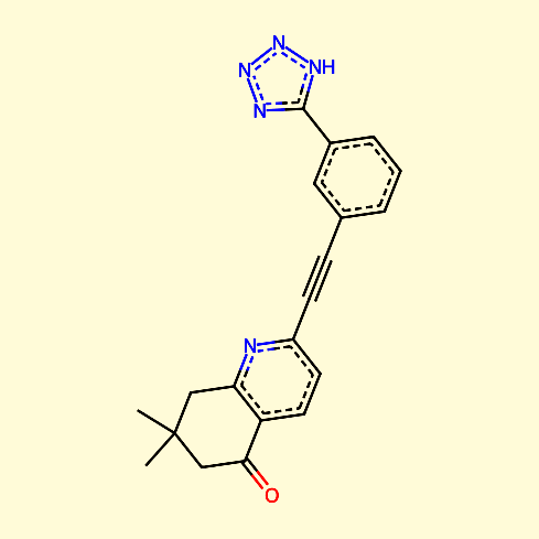 CC1(C)CC(=O)c2ccc(C#Cc3cccc(-c4nnn[nH]4)c3)nc2C1